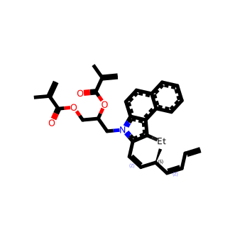 C=C/C=C\[C@H](C)/C=C\c1c(CC)c2c3ccccc3ccc2n1CC(COC(=O)C(=C)C)OC(=O)C(=C)C